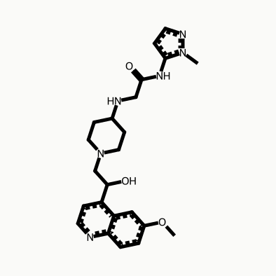 COc1ccc2nccc(C(O)CN3CCC(NCC(=O)Nc4ccnn4C)CC3)c2c1